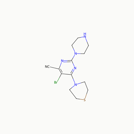 N#Cc1nc(N2CCNCC2)nc(N2CCSCC2)c1Br